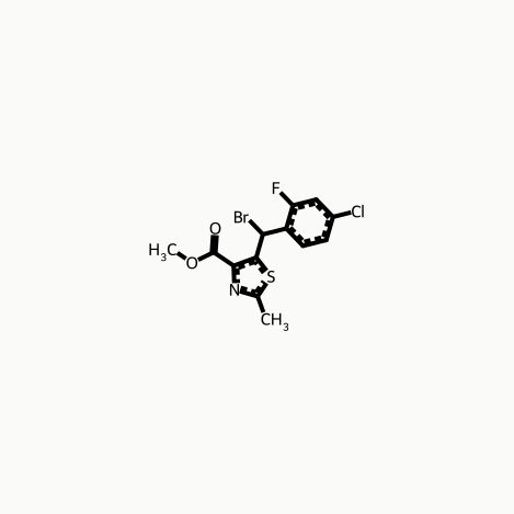 COC(=O)c1nc(C)sc1C(Br)c1ccc(Cl)cc1F